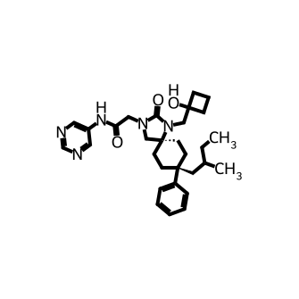 CCC(C)C[C@]1(c2ccccc2)CC[C@]2(CC1)CN(CC(=O)Nc1cncnc1)C(=O)N2CC1(O)CCC1